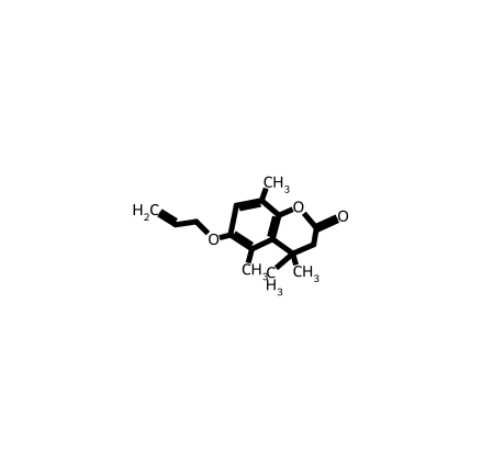 C=CCOc1cc(C)c2c(c1C)C(C)(C)CC(=O)O2